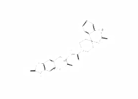 COC(=O)[C@@H](Cc1ccc2[nH]c(=O)oc2c1)NC(=O)N1CCC2(CC1)NC(=O)Nc1ccccc12